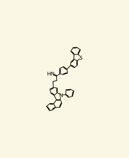 N=C(CCc1ccc2c3c4ccccc4ccc3n(-c3ccccc3)c2c1)c1ccc(-c2ccc3sc4ccccc4c3c2)cc1